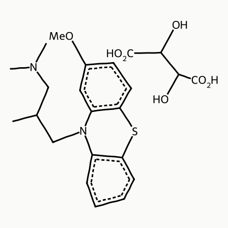 COc1ccc2c(c1)N(CC(C)CN(C)C)c1ccccc1S2.O=C(O)C(O)C(O)C(=O)O